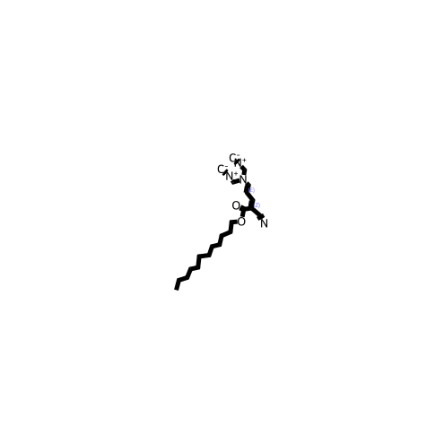 [C-]#[N+]CN(/C=C/C=C(/C#N)C(=O)OCCCCCCCCCCCC)C[N+]#[C-]